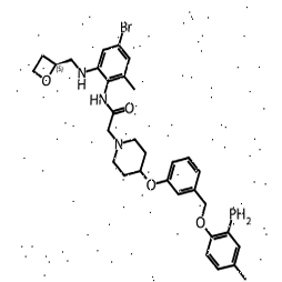 Cc1ccc(OCc2cccc(OC3CCN(CC(=O)Nc4c(C)cc(Br)cc4NC[C@@H]4CCO4)CC3)c2)c(P)c1